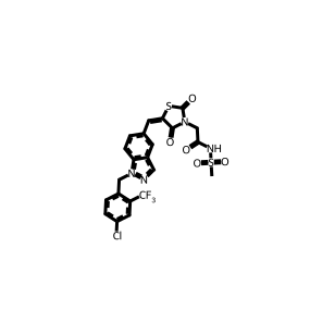 CS(=O)(=O)NC(=O)CN1C(=O)SC(=Cc2ccc3c(cnn3Cc3ccc(Cl)cc3C(F)(F)F)c2)C1=O